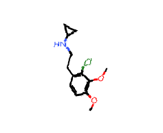 COc1ccc(CCNC2CC2)c(Cl)c1OC